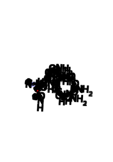 CNC(=O)c1ccccc1Sc1ccc2c(/C=C/c3ccccn3)nn(C(=O)OCc3ccc(C(=O)N[C@H](C(=O)N[C@@H](CCN)C(=O)N[C@H]4CCNC(=O)[C@H]([C@@H](C)O)NC(=O)[C@H](CCN)NC(=O)[C@H](CCN)NC(=O)[C@H](CC(C)C)NC(=O)CNC(=O)[C@H](CCN)NC4=O)[C@@H](C)O)cc3)c2c1